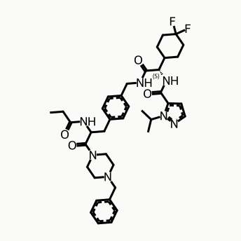 CCC(=O)NC(Cc1ccc(CNC(=O)[C@@H](NC(=O)c2ccnn2C(C)C)C2CCC(F)(F)CC2)cc1)C(=O)N1CCN(Cc2ccccc2)CC1